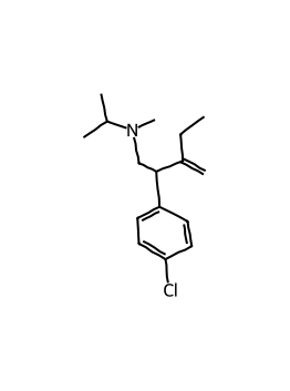 C=C(CC)C(CN(C)C(C)C)c1ccc(Cl)cc1